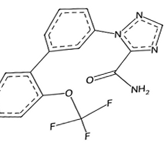 NC(=O)c1ncnn1-c1cccc(-c2ccccc2OC(F)(F)F)c1